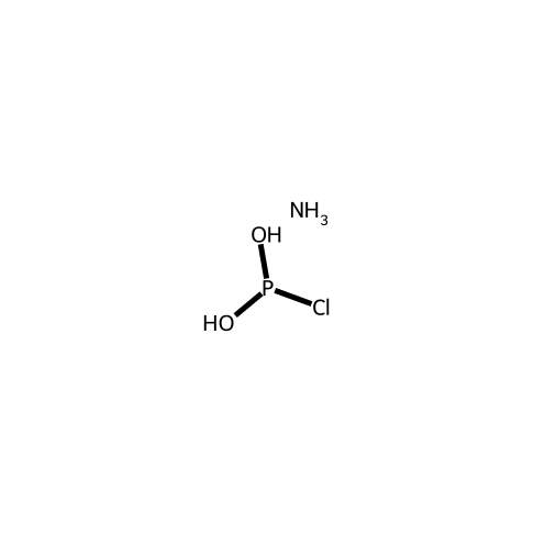 N.OP(O)Cl